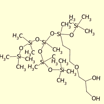 C[Si](C)(C)O[Si](C)(C)O[Si](C)(O[Si](C)(C)O[Si](C)(C)C)O[Si](C)(CCCOCC(O)CO)O[Si](C)(C)C